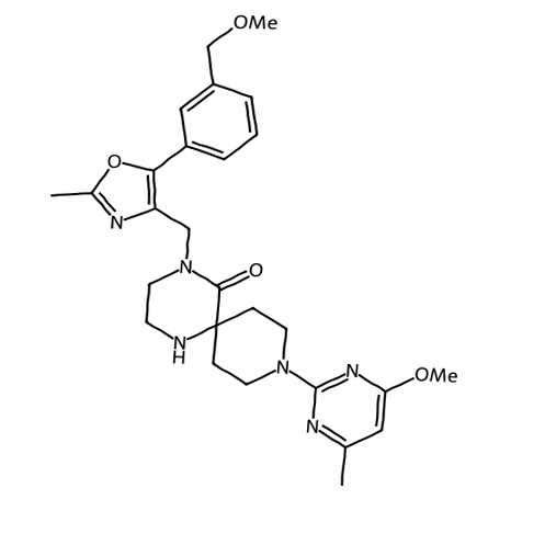 COCc1cccc(-c2oc(C)nc2CN2CCNC3(CCN(c4nc(C)cc(OC)n4)CC3)C2=O)c1